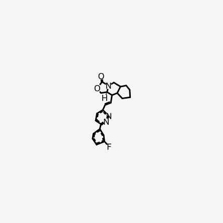 O=C1OC[C@@H]2C(/C=C/c3ccc(-c4cccc(F)c4)nn3)C3CCCCC3CN12